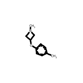 Cc1ccc(OC2CN(C)C2)cc1